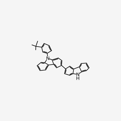 CC(C)(C)c1cccc(-n2c3ccccc3c3cc(-c4ccc5[nH]c6ccccc6c5c4)ccc32)c1